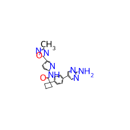 Cc1noc(-c2ccc(NC(=O)C3(c4ccc(-c5cnc(N)nc5)cc4)CCC3)nc2)n1